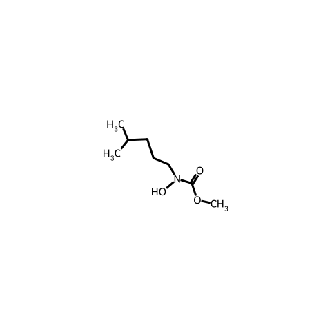 COC(=O)N(O)CCCC(C)C